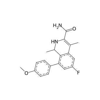 COc1ccc(-c2cc(F)cc3c2C(C)NC(C(N)=O)=C3C)cc1